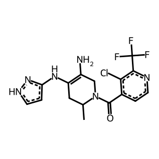 CC1CC(Nc2cc[nH]n2)=C(N)CN1C(=O)c1ccnc(C(F)(F)F)c1Cl